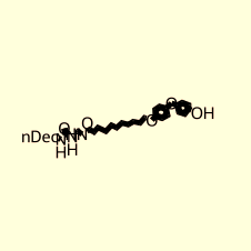 CCCCCCCCCCNC(=O)NCNC(=O)CCCCCCCCCCOc1ccc(Oc2ccc(O)cc2)cc1